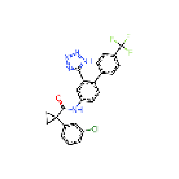 O=C(Nc1ccc(-c2ccc(C(F)(F)F)cc2)c(-c2nnn[nH]2)c1)C1(c2cccc(Cl)c2)CC1